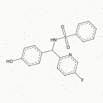 O=S(=O)(NC(c1ccc(O)cc1)c1ccc(F)cn1)c1ccccc1